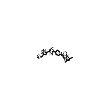 COCC1CC(c2csc(C3CCN(C(=O)Cn4nc(C)cc4C)CC3)n2)=NO1